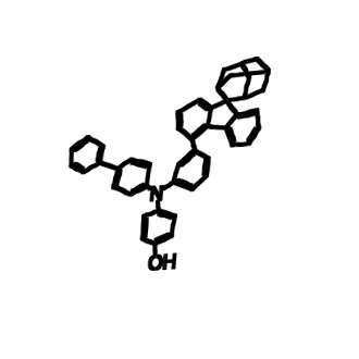 Oc1ccc(N(c2ccc(-c3ccccc3)cc2)c2cccc(-c3cccc4c3-c3ccccc3C43C4CC5CC(C4)CC3C5)c2)cc1